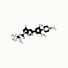 Cc1cc(-c2cc3c(I)cn(C(=O)OC(C)(C)C)c3nn2)cc(C)c1N1CCN(C)CC1